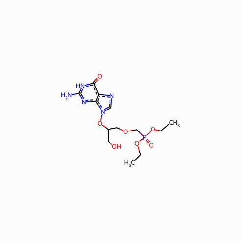 CCOP(=O)(COCC(CO)On1cnc2c(=O)[nH]c(N)nc21)OCC